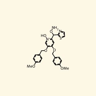 COc1ccc(COc2cc(C(ON)c3nccs3)[n+](O)cc2OCc2ccc(OC)cc2)cc1